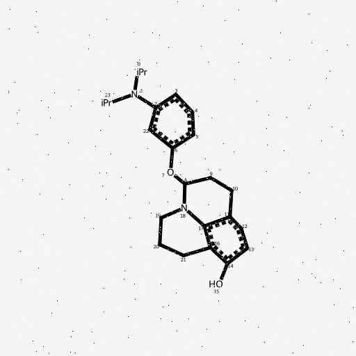 CC(C)N(c1cccc(OC2CCc3ccc(O)c4c3N2CCC4)c1)C(C)C